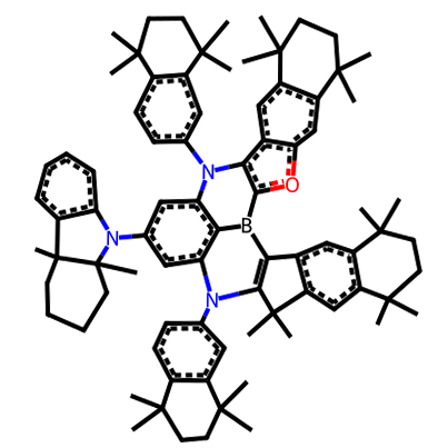 CC1(C)CCC(C)(C)c2cc(N3C4=C(B5c6oc7cc8c(cc7c6N(c6ccc7c(c6)C(C)(C)CCC7(C)C)c6cc(N7c9ccccc9C9(C)CCCCC79C)cc3c65)C(C)(C)CCC8(C)C)c3cc5c(cc3C4(C)C)C(C)(C)CCC5(C)C)ccc21